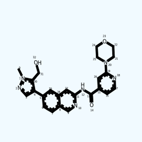 Cn1ncc(-c2ccc3cnc(NC(=O)c4ccnc(N5CCOCC5)c4)cc3c2)c1CO